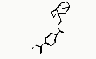 O=C(NO)c1ccc(C(=O)NCC23CC4CC=C2C(C4)C3)cc1